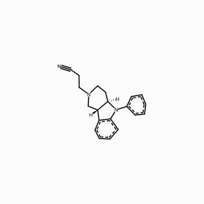 N#CCCN1CC[C@@H]2[C@@H](C1)c1ccccc1N2c1ccccc1